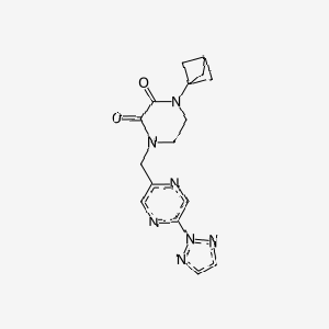 O=C1C(=O)N(C23CC(C2)C3)CCN1Cc1cnc(-n2nccn2)cn1